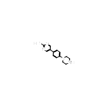 Nc1ncc(-c2ccc(N3CCNCC3)cc2)cn1